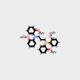 CCCOc1ccccc1N(CCCP(c1ccccc1OCCC)c1ccccc1OCCC)c1ccccc1OCCC